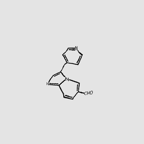 O=Cc1ccc2ncc(-c3ccncc3)n2c1